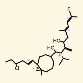 C=C(C(O)C/C(C)=C/C=C(\C)F)[C@H](C(C)C)C(O)C1CCCC(C)(C)[C@@](C)(/C=C/CC(Cl)CC)CC1